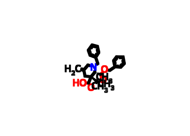 C=C1CN(Cc2ccccc2)[C@H](C(=O)OCc2ccccc2)[C@@](C(=O)O)(C(C)(C)C)C1